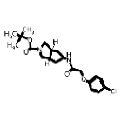 CC(C)(C)OC(=O)N1C[C@H]2CC(NC(=O)COc3ccc(Cl)cc3)C[C@@H]2C1